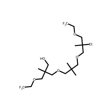 CCC(C)(COCC(F)(F)F)COCC(C)(C)COCC(C)(CO)COCC(F)(F)F